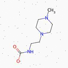 CN1CCN(CCNC([O])=O)CC1